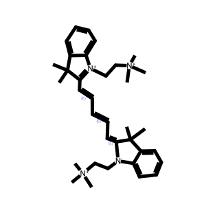 CC1(C)C(/C=C/C=C/C=C2/N(CC[N+](C)(C)C)c3ccccc3C2(C)C)=[N+](CC[N+](C)(C)C)c2ccccc21